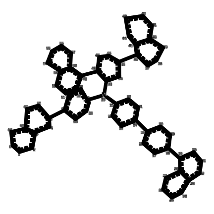 c1ccc2cc(-c3ccc(N(c4ccc(-c5ccc(-c6cccc7ccccc67)cc5)cc4)c4cc(-c5cccc6ccccc56)ccc4-c4cccc5ccccc45)cc3)ccc2c1